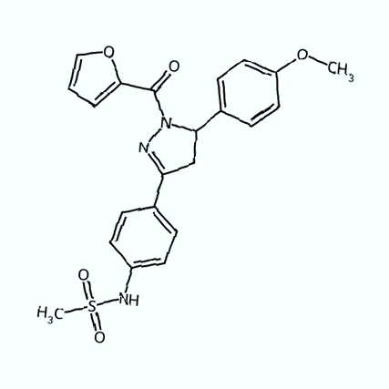 COc1ccc(C2CC(c3ccc(NS(C)(=O)=O)cc3)=NN2C(=O)c2ccco2)cc1